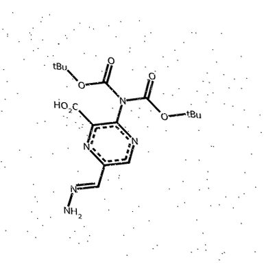 CC(C)(C)OC(=O)N(C(=O)OC(C)(C)C)c1ncc(C=NN)nc1C(=O)O